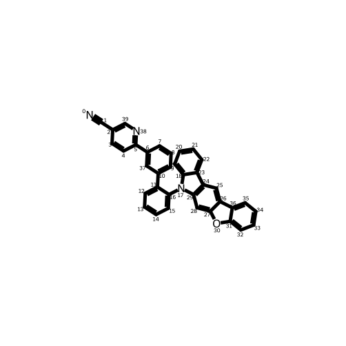 N#Cc1ccc(-c2cccc(-c3ccccc3-n3c4ccccc4c4cc5c(cc43)oc3ccccc35)c2)nc1